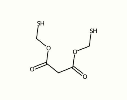 O=C(CC(=O)OCS)OCS